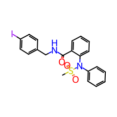 CS(=O)(=O)N(c1ccccc1)c1ccccc1C(=O)NCc1ccc(I)cc1